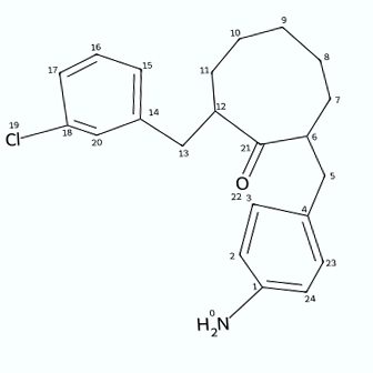 Nc1ccc(CC2CCCCCC(Cc3cccc(Cl)c3)C2=O)cc1